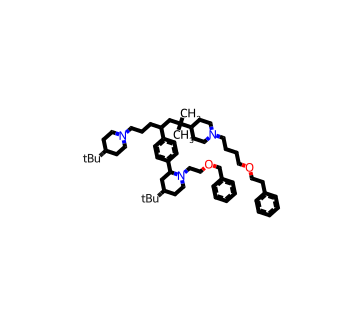 CC(C)(C)C1CCN(CCCC(CC(C)(C)C2CCN(CCCCOCCc3ccccc3)CC2)c2ccc(C3CC(C(C)(C)C)CCN3CCOCc3ccccc3)cc2)CC1